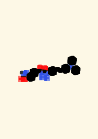 CN=Nc1c(O)ccc2cc(C(=O)NC(=O)Nc3ccc(CCc4ccc(N(c5ccccc5)c5ccccc5)cc4)cc3)ccc12